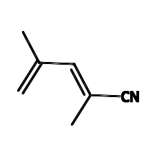 C=C(C)/C=C(\C)C#N